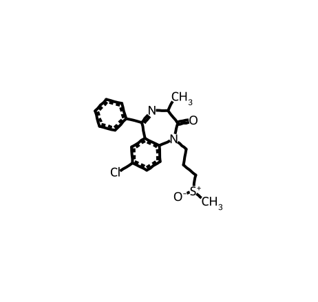 CC1N=C(c2ccccc2)c2cc(Cl)ccc2N(CCC[S+](C)[O-])C1=O